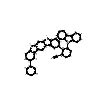 N#Cc1cccc(-n2c3ccccc3c3ccccc32)c1-c1ccc2oc3cc4oc5ccc(-c6ccccc6)cc5c4cc3c2c1